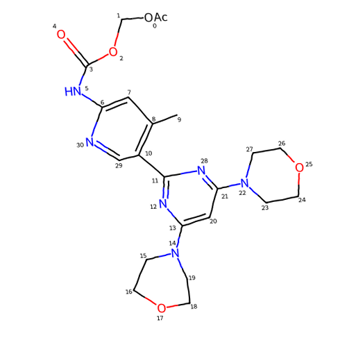 CC(=O)OCOC(=O)Nc1cc(C)c(-c2nc(N3CCOCC3)cc(N3CCOCC3)n2)cn1